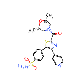 C[C@@H]1CN(C(=O)c2nc(-c3ccncc3)c(-c3ccc(S(N)(=O)=O)cc3)s2)C[C@H](C)O1